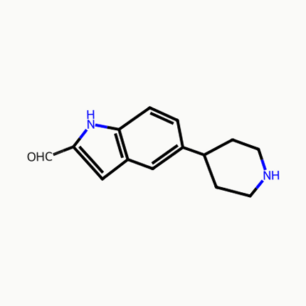 O=Cc1cc2cc(C3CCNCC3)ccc2[nH]1